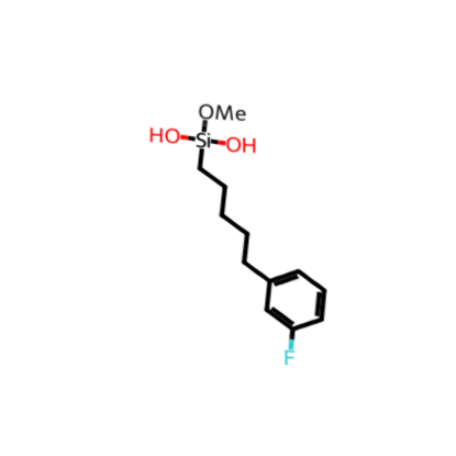 CO[Si](O)(O)CCCCCc1cccc(F)c1